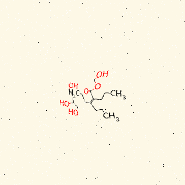 CCCC(CCC)=C(CCC)C(=O)OCO.OCCC(O)CO